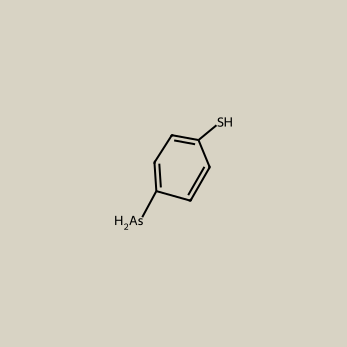 Sc1ccc([AsH2])cc1